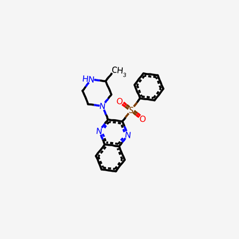 CC1CN(c2nc3ccccc3nc2S(=O)(=O)c2ccccc2)CCN1